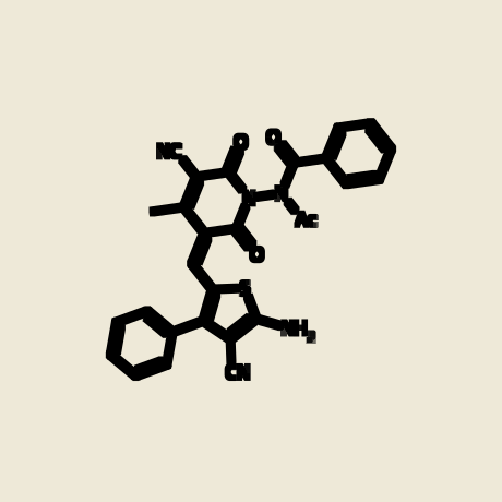 CC(=O)N(C(=O)c1ccccc1)N1C(=O)C(C#N)=C(C)/C(=C/c2sc(N)c(C#N)c2-c2ccccc2)C1=O